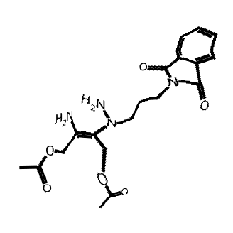 CC(=O)OC/C(N)=C(\COC(C)=O)N(N)CCCN1C(=O)c2ccccc2C1=O